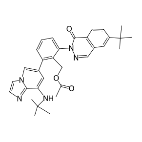 CC(=O)OCc1c(-c2cc(NC(C)(C)C)c3nccn3c2)cccc1-n1ncc2cc(C(C)(C)C)ccc2c1=O